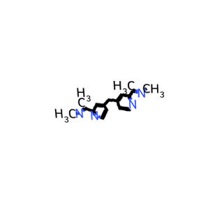 C/N=C(\C)c1cc(Cc2ccnc(/C(C)=N/C)c2)ccn1